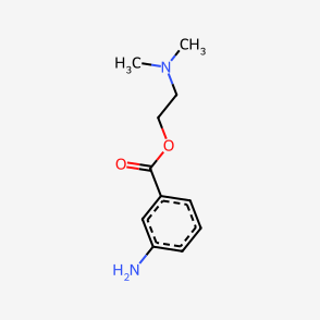 CN(C)CCOC(=O)c1cccc(N)c1